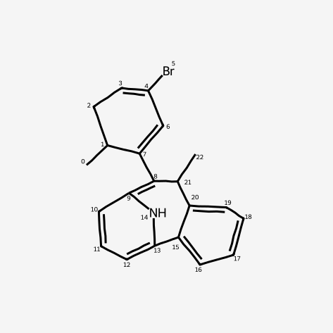 CC1CC=C(Br)C=C1C1=C2C=CC=C(N2)c2ccccc2C1C